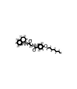 CCCCCCCOc1ccc(C(=O)NCC(=O)NC2CCCc3ccccc32)cc1